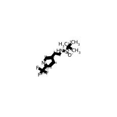 CC(C)(C)[S+]([O-])NCCc1ccc(C(F)(F)F)nc1